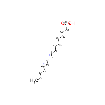 CCCC/C=C/C/C=C/CCCCCCCC(=O)O